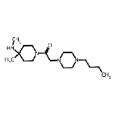 CCCCN1CCN(CC(=O)N2CCC(C)(NC)CC2)CC1